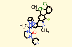 Cc1nc2c(F)c(-c3cccc(Cl)c3Cl)c(CCC#N)cc2c2c1cc(C(C)N1CCCN(c3ccncc3)C1=O)n2C1C2CNC1C2